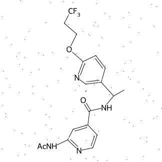 CC(=O)Nc1cc(C(=O)NC(C)c2ccc(OCCC(F)(F)F)nc2)ccn1